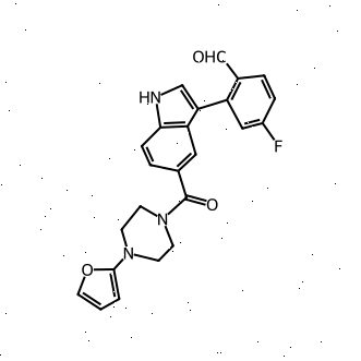 O=Cc1ccc(F)cc1-c1c[nH]c2ccc(C(=O)N3CCN(c4ccco4)CC3)cc12